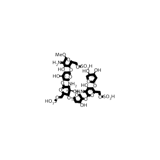 CO[C@H]1OC(COS(=O)(=O)O)[C@@H](O[C@H]2C[C@H](O)[C@@H](OC3OC(COS(=O)(=O)O)[C@@H](O[C@H]4C[C@H](O)C(O[C@@H]5OC(COS(=O)(=O)O)[C@@H](O[C@H]6C[C@H](O)[C@H](O)CO6)[C@H](O)C5N)CO4)[C@H](O)C3N)CO2)[C@H](O)C1N